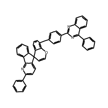 C1=CC2(c3ccccc3-c3nc(-c4ccccc4)ccc32)c2cccc(-c3ccc(-c4nc(-c5ccccc5)c5ccccc5n4)cc3)c2O1